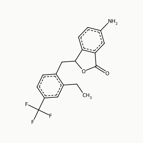 CCc1cc(C(F)(F)F)ccc1CC1OC(=O)c2cc(N)ccc21